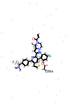 C=CC(=O)N1CCn2nc(-c3nc(-c4ccc([C@H](N(C)C)C(F)(F)F)cc4)c4ccsc4c3-c3c(F)cc(F)cc3OCCOC)cc2[C@H]1C